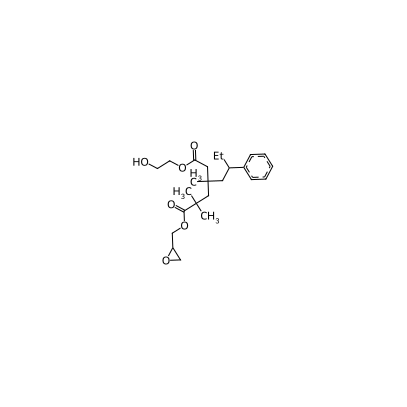 CCC(CC(C)(CC(=O)OCCO)CC(C)(C)C(=O)OCC1CO1)c1ccccc1